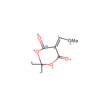 COC=C1C(=O)OC(C)(C)OC1=O